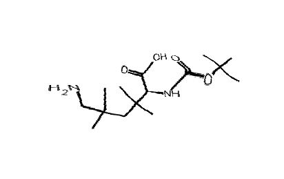 CC(C)(CN)CC(C)(C)[C@H](NC(=O)OC(C)(C)C)C(=O)O